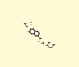 CN(NC(=O)c1ccc2c(F)c(N3CC(=O)NS3(=O)=O)c(O)cc2c1)C(=O)NC1CCC(=O)NC1=O